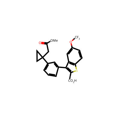 COC(=O)CC1(c2cccc(-c3c(C(=O)O)sc4ccc(OC(F)(F)F)cc34)c2)CC1